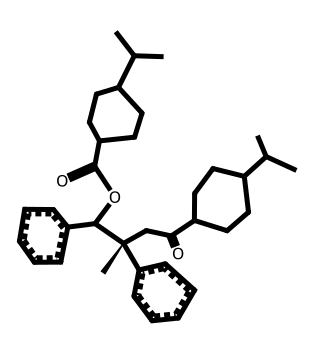 CC(C)C1CCC(C(=O)C[C@](C)(c2ccccc2)C(OC(=O)C2CCC(C(C)C)CC2)c2ccccc2)CC1